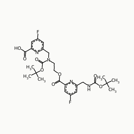 CC(C)(C)OC(=O)NCc1cc(F)cc(C(=O)OCCN(Cc2cc(F)cc(C(=O)O)n2)C(=O)OC(C)(C)C)n1